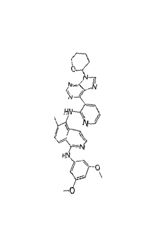 COc1cc(Nc2nccc3c(Nc4ncccc4-c4ncnc5c4ncn5C4CCCCO4)c(C)ccc23)cc(OC)c1